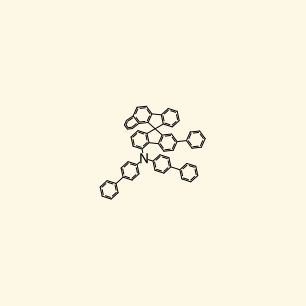 c1ccc(-c2ccc(N(c3ccc(-c4ccccc4)cc3)c3cccc4c3-c3ccc(-c5ccccc5)cc3C43c4ccccc4-c4ccc5ccccc5c43)cc2)cc1